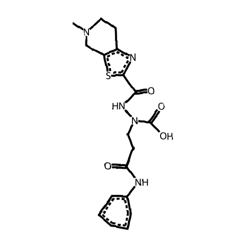 CN1CCc2nc(C(=O)NN(CCC(=O)Nc3ccccc3)C(=O)O)sc2C1